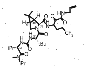 C=CCNC(=O)C(=O)C(CCC(F)(F)F)NC(=O)[C@@H]1[C@@H]2[C@H](CN1C(=O)[C@@H](NC(=O)N[C@H](C(=O)N(C)C(C)C)C(C)C)C(C)(C)C)C2(C)C